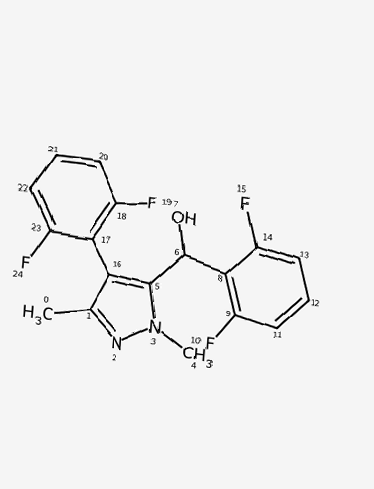 Cc1nn(C)c(C(O)c2c(F)cccc2F)c1-c1c(F)cccc1F